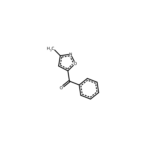 Cc1cc(C(=O)c2ccccc2)on1